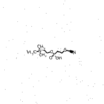 C[N+](C)(C)CCOP(=O)(O)CCSC#N